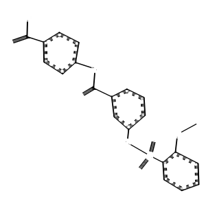 COc1ccccc1S(=O)(=O)Nc1cccc(C(=O)Nc2ccc(C(=O)O)cc2)c1